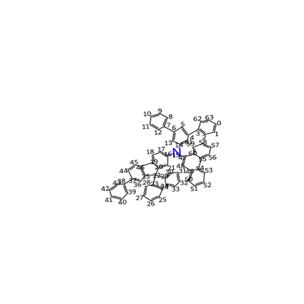 c1ccc(-c2cc(-c3ccccc3)cc(N(c3ccc4c(c3)C(c3ccccc3)(c3ccccc3)c3cc(-c5ccccc5)ccc3-4)c3cc4ccccc4c4ccccc34)c2)cc1